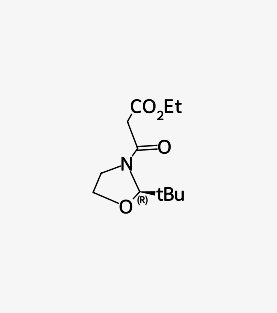 CCOC(=O)CC(=O)N1CCO[C@@H]1C(C)(C)C